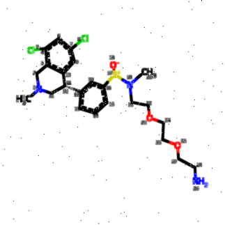 CN1Cc2c(Cl)cc(Cl)cc2[C@H](c2cccc([S+]([O-])N(C)CCOCCOCCN)c2)C1